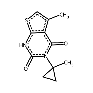 Cc1csc2[nH]c(=O)n(C3(C)CC3)c(=O)c12